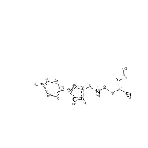 C=CCC(CC)CCNCc1cc(-c2ccc(C)cc2)on1